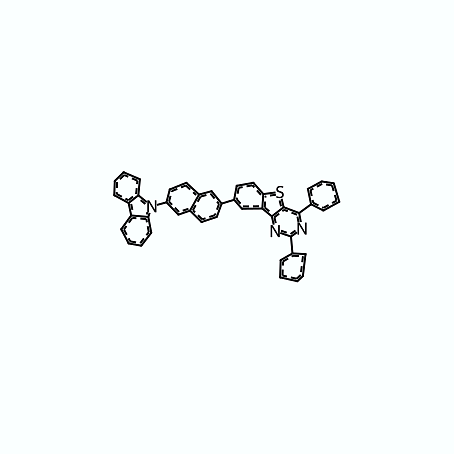 c1ccc(-c2nc(-c3ccccc3)c3sc4ccc(-c5ccc6cc(-n7c8ccccc8c8ccccc87)ccc6c5)cc4c3n2)cc1